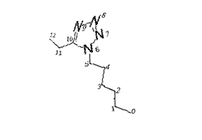 CCCCCCn1nnnc1CC